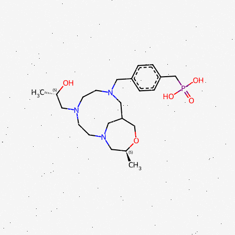 C[C@H](O)CN1CCN(Cc2ccc(CP(=O)(O)O)cc2)CC2CO[C@@H](C)CN(CC1)C2